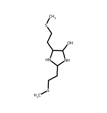 CSCCC1NC(O)C(CCSC)N1